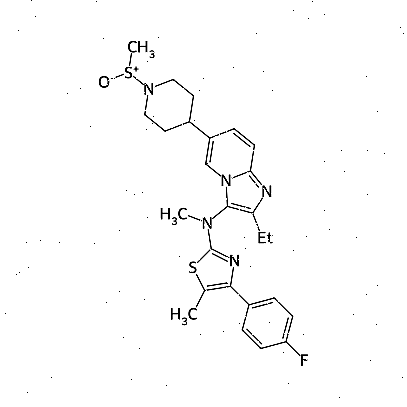 CCc1nc2ccc(C3CCN([S+](C)[O-])CC3)cn2c1N(C)c1nc(-c2ccc(F)cc2)c(C)s1